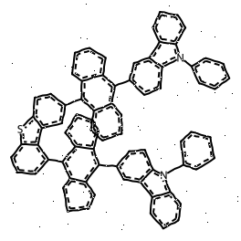 c1ccc(-n2c3ccccc3c3cc(-c4c5ccccc5c(-c5ccc6sc7cccc(-c8c9ccccc9c(-c9ccc%10c(c9)c9ccccc9n%10-c9ccccc9)c9ccccc89)c7c6c5)c5ccccc45)ccc32)cc1